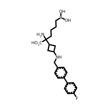 NC(CCCCB(O)O)(C(=O)O)C1CC(NCc2ccc(-c3ccc(F)cc3)cc2)C1